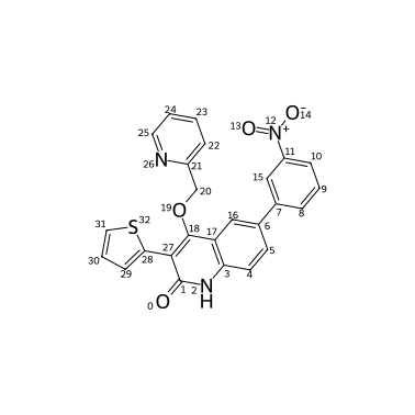 O=c1[nH]c2ccc(-c3cccc([N+](=O)[O-])c3)cc2c(OCc2ccccn2)c1-c1cccs1